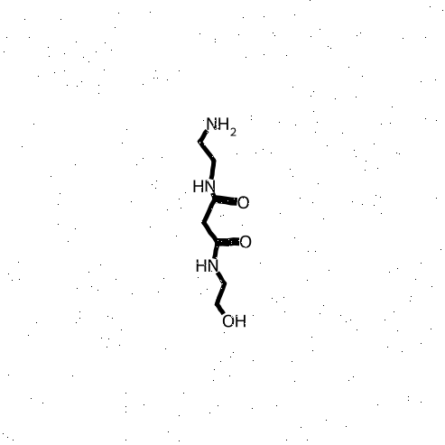 NCCNC(=O)CC(=O)NCCO